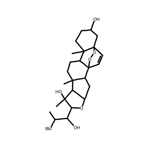 CC(C(O)C1OC2CC3C(C)(CCC4C35C=CC3(CC(O)CCC43C)OO5)C2C1(C)O)C(C)(C)C